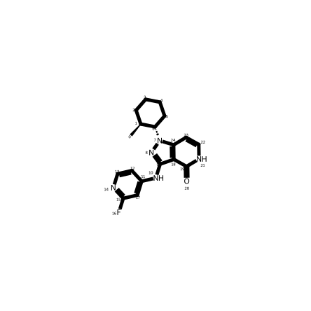 C[C@H]1CCCC[C@@H]1n1nc(Nc2ccnc(F)c2)c2c(=O)[nH]ccc21